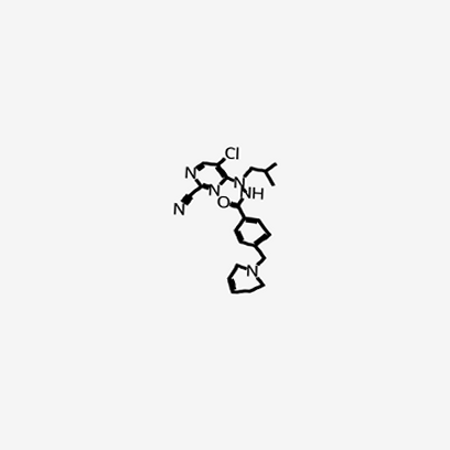 CC(C)CN(NC(=O)c1ccc(CN2CC=CCC2)cc1)c1nc(C#N)ncc1Cl